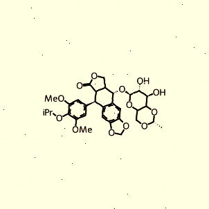 COc1cc([C@@H]2c3cc4c(cc3[C@@H](O[C@@H]3OC5CO[C@@H](C)OC5[C@H](O)[C@H]3O)C3COC(=O)C32)OCO4)cc(OC)c1OC(C)C